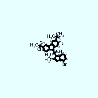 CC1=Cc2c(Br)cccc2C1C(C)(C)C1c2ccc(C(C)(C)C)cc2-c2cc(C(C)(C)C)ccc21